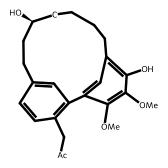 COc1c2cc(c(O)c1OC)CCCC[C@H](O)CCc1ccc(CC(C)=O)c-2c1